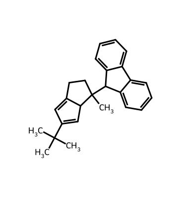 CC(C)(C)C1=CC2C(=C1)CCC2(C)C1c2ccccc2-c2ccccc21